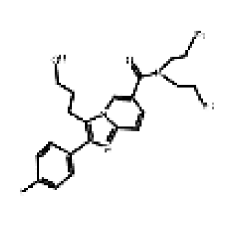 CC(C)CCN(CCC(C)C)C(=O)c1ccc2nc(-c3ccc(I)cc3)c(CCCO)n2c1